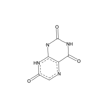 O=C1[N]c2[nH]c(=O)cnc2C(=O)N1